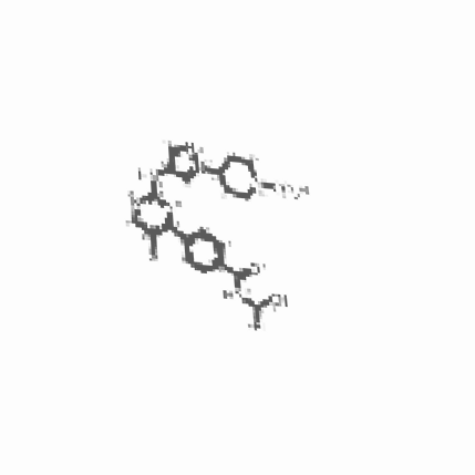 CCC(C#N)NC(=O)c1ccc(-c2nc(Nc3cnn(C4CCN(C(=O)O)CC4)c3)ncc2C)cc1